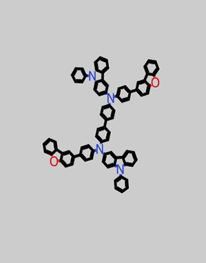 c1ccc(-n2c3ccccc3c3cc(N(c4ccc(-c5ccc(N(c6ccc(-c7ccc8oc9ccccc9c8c7)cc6)c6ccc7c(c6)c6ccccc6n7-c6ccccc6)cc5)cc4)c4ccc(-c5ccc6oc7ccccc7c6c5)cc4)ccc32)cc1